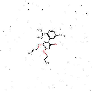 CC(=O)OC(OC(C)=O)c1ccc(C)cc1-c1cc(OCCC(C)C)c(OCCC(C)C)cc1Br